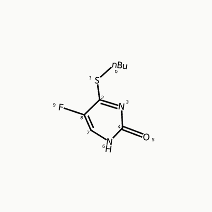 CCCCSc1nc(=O)[nH]cc1F